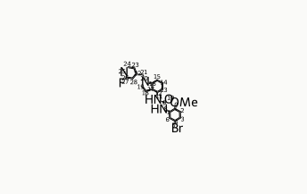 COc1ccc(Br)cc1NC(=O)Nc1cccc2c1ccn2Cc1ccnc(F)c1